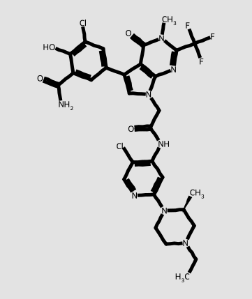 CCN1CCN(c2cc(NC(=O)Cn3cc(-c4cc(Cl)c(O)c(C(N)=O)c4)c4c(=O)n(C)c(C(F)(F)F)nc43)c(Cl)cn2)[C@@H](C)C1